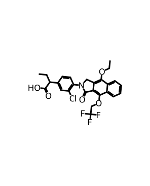 CCOc1c2c(c(OCC(F)(F)F)c3ccccc13)C(=O)N(c1ccc(C(CC)C(=O)O)cc1Cl)C2